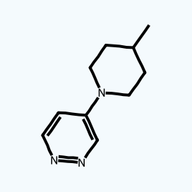 CC1CCN(c2ccnnc2)CC1